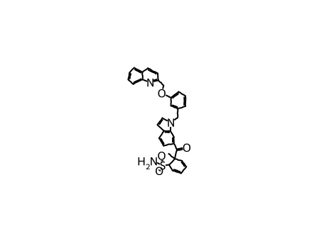 CC1(C(=O)c2ccc3ccn(Cc4cccc(OCc5ccc6ccccc6n5)c4)c3c2)C=CC=CC1S(N)(=O)=O